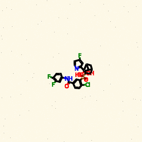 O=C(Nc1ccc(F)c(F)c1)c1ccc(Cl)c(S(=O)(=O)C2CC3CC(C2)C3(O)C(O)c2cc(F)ccn2)c1